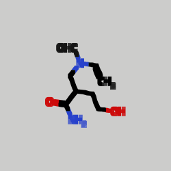 C=CN(C=O)CC(CCO)C(N)=O